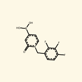 O=c1cc(B(O)O)ccn1Cc1ccc(F)c(F)c1F